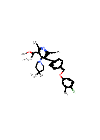 Cc1cc(OCc2ccc(-c3c(C)nc(C)c(C(OC(C)(C)C)C(=O)O)c3N3CCC(C)(C)CC3)cc2)ccc1Cl